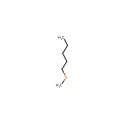 CC[CH]C[CH]SC